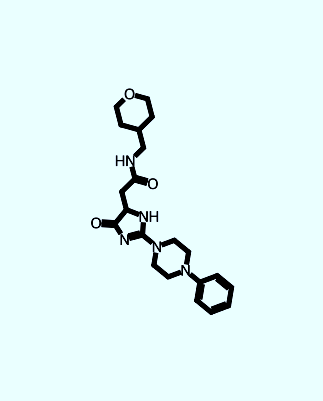 O=C(CC1NC(N2CCN(c3ccccc3)CC2)=NC1=O)NCC1CCOCC1